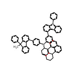 CC1(c2ccccc2)c2ccccc2-c2c(-c3ccc(N(c4cccc(-c5cccc6c5c5ccccc5n6-c5ccccc5)c4)C4CC=CC=C4c4cccc5cccc(C6CCCCC6)c45)cc3)cccc21